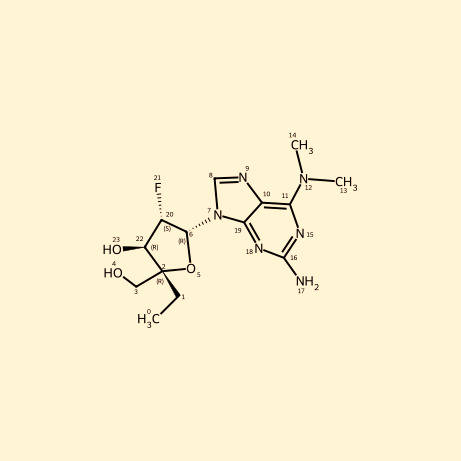 CC[C@]1(CO)O[C@@H](n2cnc3c(N(C)C)nc(N)nc32)[C@@H](F)[C@@H]1O